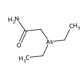 CC[As](CC)CC(N)=O